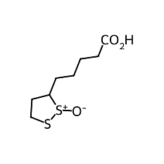 O=C(O)CCCCC1CCS[S+]1[O-]